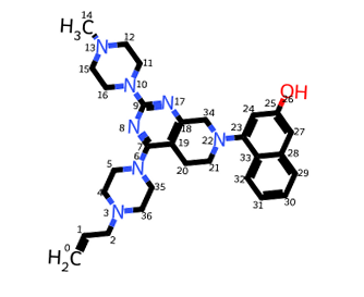 C=CCN1CCN(c2nc(N3CCN(C)CC3)nc3c2CCN(c2cc(O)cc4ccccc24)C3)CC1